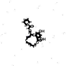 O=C1OCC/C=C/CC/C=C/C(=NOCC(=O)N2CC=CCC2)Cc2cc(O)cc(O)c21